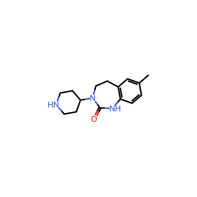 Cc1ccc2c(c1)CCN(C1CCNCC1)C(=O)N2